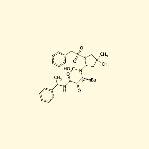 CCCC[C@@H](C(=O)C(=O)NC(C)c1ccccc1)N(C(=O)O)C1CC(C)(C)CN1S(=O)(=O)Cc1ccccc1